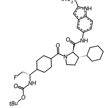 CCOC(=O)c1cc2cc(NC(=O)[C@H]3[C@H](C4CCCCC4)CCN3C(=O)C3CCC([C@@H](CF)NC(=O)OC(C)(C)C)CC3)ccc2[nH]1